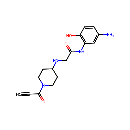 C#CC(=O)N1CCC(NCC(=O)Nc2cc(N)ccc2O)CC1